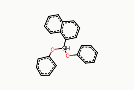 c1ccc(O[SiH](Oc2ccccc2)c2cccc3ccccc23)cc1